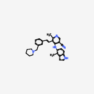 Cc1ncc(C#N)c(Nc2ccc3[nH]ccc3c2C)c1/C=C/c1cccc(CN2CCCCC2)c1